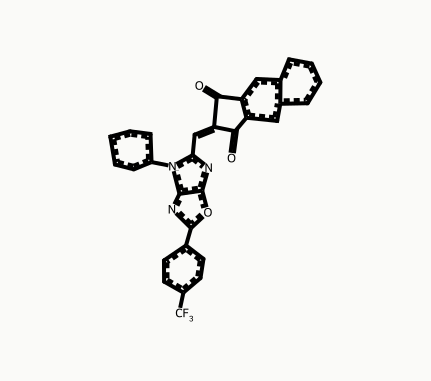 O=C1C(=Cc2nc3oc(-c4ccc(C(F)(F)F)cc4)nc3n2-c2ccccc2)C(=O)c2cc3ccccc3cc21